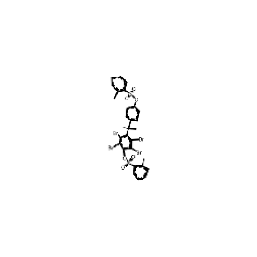 Cc1ccccc1S(=O)(=O)Oc1ccc(C(C)(C)c2c(Br)c(Br)c(OS(=O)(=O)c3ccccc3C)c(Br)c2Br)cc1